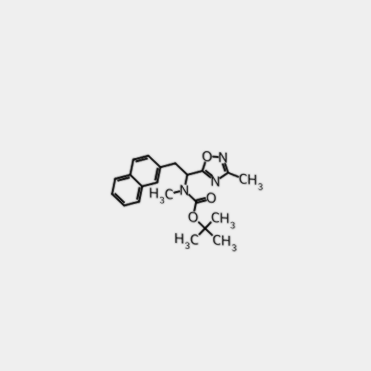 Cc1noc(C(Cc2ccc3ccccc3c2)N(C)C(=O)OC(C)(C)C)n1